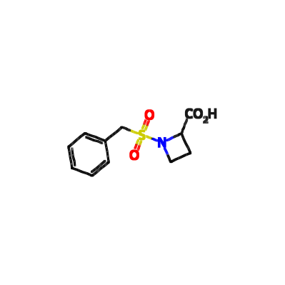 O=C(O)C1CCN1S(=O)(=O)Cc1ccccc1